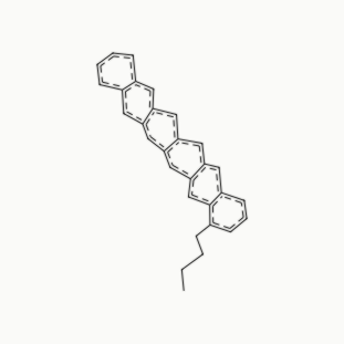 CCCCc1cccc2cc3cc4cc5cc6ccccc6cc5cc4cc3cc12